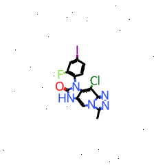 Cc1nnc2c(Cl)c3c(cn12)[nH]c(=O)n3-c1ccc(I)cc1F